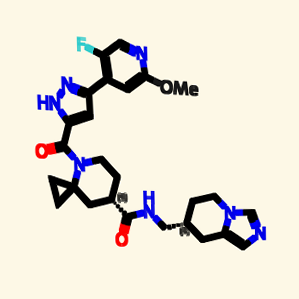 COc1cc(-c2cc(C(=O)N3CC[C@H](C(=O)NC[C@@H]4CCn5cncc5C4)CC34CC4)[nH]n2)c(F)cn1